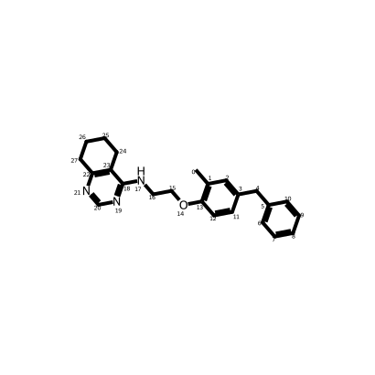 Cc1cc(Cc2ccccc2)ccc1OCCNc1ncnc2c1CCCC2